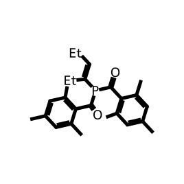 CCC=C(CC)P(C(=O)c1c(C)cc(C)cc1C)C(=O)c1c(C)cc(C)cc1C